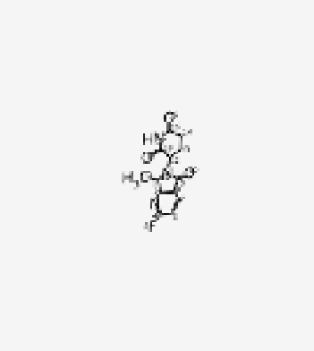 CC1c2nc(F)ccc2C(=O)N1C1CCC(=O)NC1=O